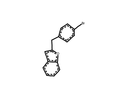 Brc1ccc(Cc2cc3ccccc3o2)cc1